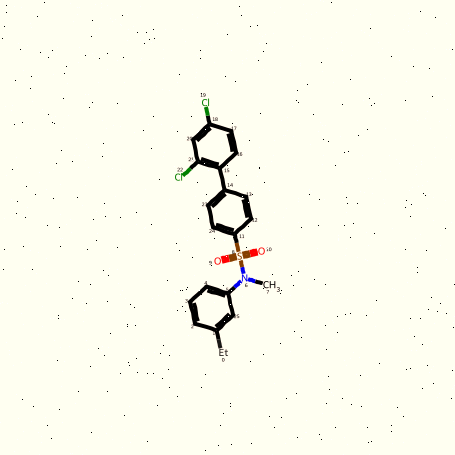 CCc1cccc(N(C)S(=O)(=O)c2ccc(-c3ccc(Cl)cc3Cl)cc2)c1